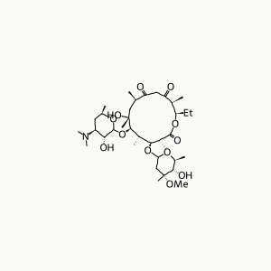 CC[C@H]1OC(=O)[C@H](C)[C@@H](OC2C[C@@](C)(OC)[C@@H](O)[C@H](C)O2)[C@H](C)[C@@H](OC2O[C@H](C)C[C@H](N(C)C)[C@H]2O)[C@](C)(O)C[C@@H](C)C(=O)CC(=O)[C@H]1C